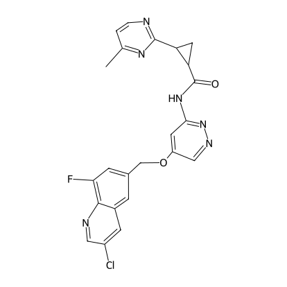 Cc1ccnc(C2CC2C(=O)Nc2cc(OCc3cc(F)c4ncc(Cl)cc4c3)cnn2)n1